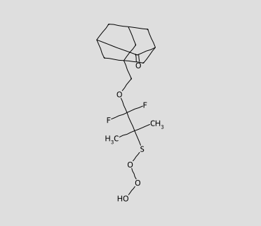 CC(C)(SOOO)C(F)(F)OCC12CC3CC(C1)C(=O)C(C3)C2